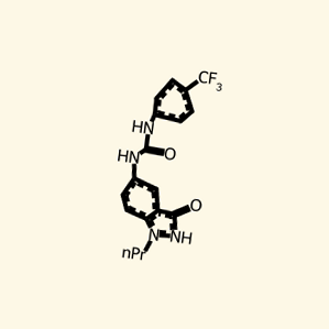 CCCn1[nH]c(=O)c2cc(NC(=O)Nc3ccc(C(F)(F)F)cc3)ccc21